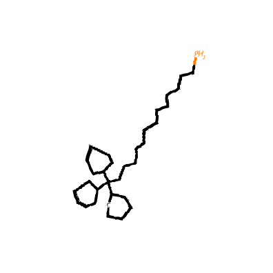 PCCCCCCCCCCCCCC(C1CCCCC1)(C1CCCCC1)C1CCCCC1